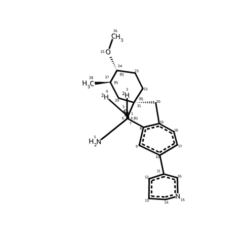 [2H]C1([2H])OC(N)=N[C@]12c1cc(-c3cccnc3)ccc1C[C@]21CC[C@@H](OC)[C@H](C)C1